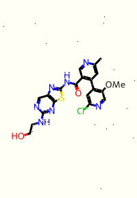 COc1cnc(Cl)cc1-c1cc(C)ncc1C(=O)Nc1nc2cnc(NCCO)nc2s1